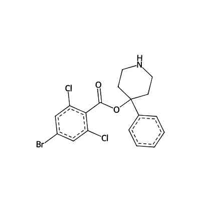 O=C(OC1(c2ccccc2)CCNCC1)c1c(Cl)cc(Br)cc1Cl